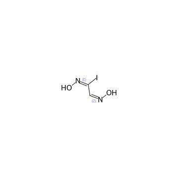 O/N=C\C(I)=N/O